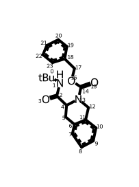 CC(C)(C)NC(=O)C1Cc2ccccc2CN1C(=O)OCc1ccccc1